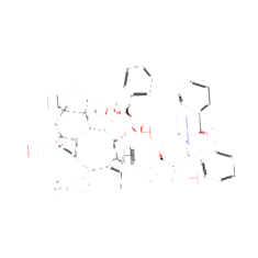 CC(=O)O[C@H]1C2=C[C@@]23C(C(OC(=O)c2ccccc2)[C@]2(O)CC(OC(=O)C(O)C(NC(=O)c4ccccc4)c4ccccc4)C(C)=C1[C@@H]2C)[C@]1(OC(C)=O)CO[C@@H]1C[C@@H]3O